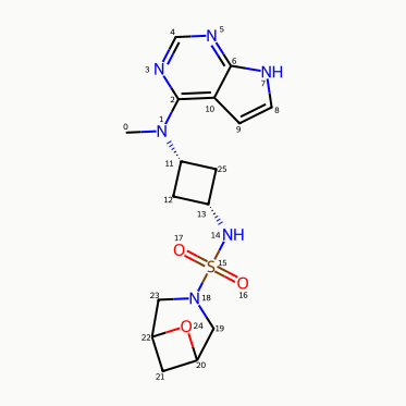 CN(c1ncnc2[nH]ccc12)[C@H]1C[C@@H](NS(=O)(=O)N2CC3CC(C2)O3)C1